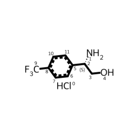 Cl.N[C@H](CO)c1ccc(C(F)(F)F)cc1